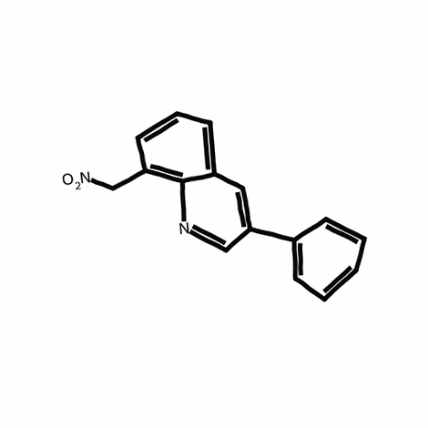 O=[N+]([O-])Cc1cccc2cc(-c3ccccc3)cnc12